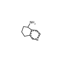 NC1CCCc2cnccc21